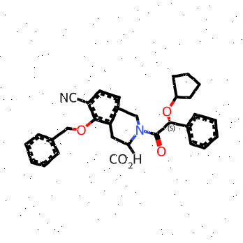 N#Cc1ccc2c(c1OCc1ccccc1)CC(C(=O)O)N(C(=O)[C@@H](OC1CCCC1)c1ccccc1)C2